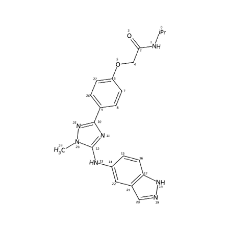 CC(C)NC(=O)COc1ccc(-c2nc(Nc3ccc4[nH]ncc4c3)n(C)n2)cc1